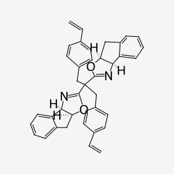 C=Cc1ccc(CC(Cc2ccc(C=C)cc2)(C2=N[C@@H]3c4ccccc4C[C@@H]3O2)C2=N[C@@H]3c4ccccc4C[C@@H]3O2)cc1